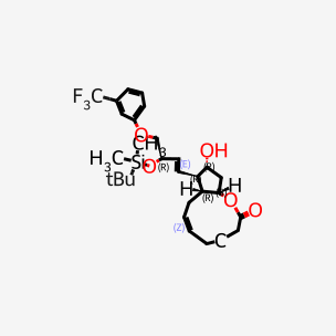 CC(C)(C)[Si](C)(C)O[C@H](/C=C/[C@@H]1[C@H]2C/C=C\CCCC(=O)O[C@H]2C[C@H]1O)COc1cccc(C(F)(F)F)c1